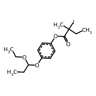 CCOC(CC)Oc1ccc(OC(=O)C(C)(I)CC)cc1